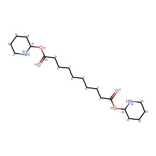 O=C(CCCCCCCCC(=O)OC1CCCCN1)OC1CCCCN1